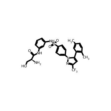 Cc1ccc(C)c(-c2cc(C(F)(F)F)nn2-c2ccc(S(=O)(=O)Nc3cccc(NC(=O)[C@@H](N)CO)c3)cc2)c1